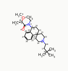 CCN(C(=O)[C@@H](C)OC)[C@H]1CCC2(CCN(CCC(C)(C)C)CC2)c2ccccc21